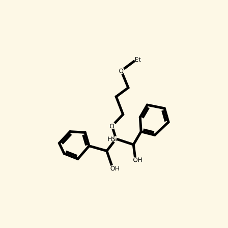 CCOCCCO[SiH](C(O)c1ccccc1)C(O)c1ccccc1